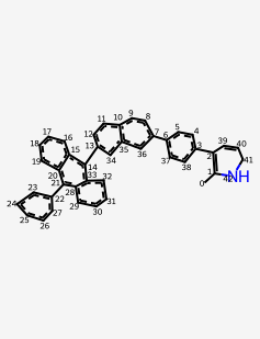 CC1=C(c2ccc(-c3ccc4ccc(-c5c6ccccc6c(-c6ccccc6)c6ccccc56)cc4c3)cc2)C=CCN1